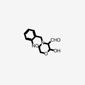 O=CC1C(O)OCCN1Cc1ccccc1[N+](=O)[O-]